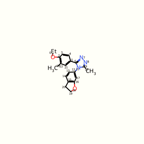 CCOc1ccc(-c2nnc(C)n2-c2ccc3c(c2)OCC3)cc1C